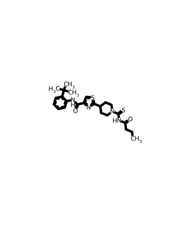 CCCC(=O)NC(=S)N1CCC(c2nc(C(=O)Nc3ccccc3C(C)(C)C)cs2)CC1